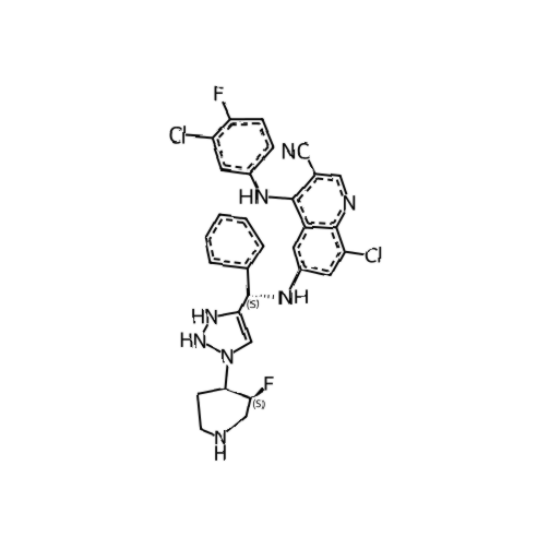 N#Cc1cnc2c(Cl)cc(N[C@H](C3=CN(C4CCNC[C@@H]4F)NN3)c3ccccc3)cc2c1Nc1ccc(F)c(Cl)c1